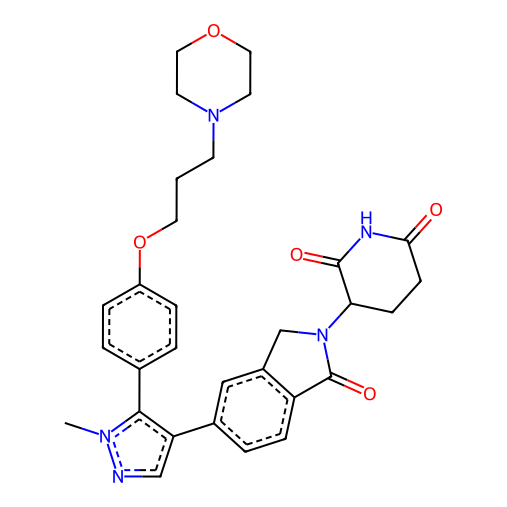 Cn1ncc(-c2ccc3c(c2)CN(C2CCC(=O)NC2=O)C3=O)c1-c1ccc(OCCCN2CCOCC2)cc1